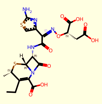 CCC1=C(C(=O)O)N2C(=O)[C@@H](NC(=O)/C(=N\O[C@@H](CC(=O)O)C(=O)O)c3csc(N)n3)[C@H]2S[C@H]1C